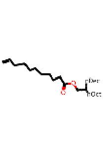 C=CCCCCCCCCC(=O)OCC(CCCCCCCC)CCCCCCCCCC